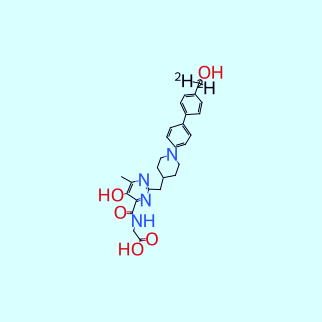 [2H]C([2H])(O)c1ccc(-c2ccc(N3CCC(Cc4nc(C)c(O)c(C(=O)NCC(=O)O)n4)CC3)cc2)cc1